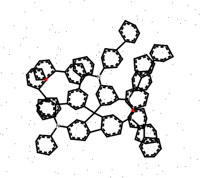 c1ccc(-c2ccc(N(c3ccc(-c4ccccc4)cc3)c3cc(N(c4ccc(-c5ccccc5)cc4)c4ccc(-c5ccccc5)cc4)cc(C4(c5cc(-c6ccccc6)cc(-c6ccccc6)c5)c5cc(N(c6ccccc6)c6ccc(-c7ccccc7)cc6)ccc5-c5ccc(N(c6ccccc6)c6ccc(-c7ccccc7)cc6)cc54)c3)cc2)cc1